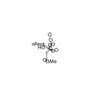 CCCCCC(O)/C=C/[C@@H]1[C@@H](C/C=C\CCCC(=O)OC)[C@H](Oc2ccccc2)C[C@H]1OC(=O)c1ccc(-c2ccccc2)cc1